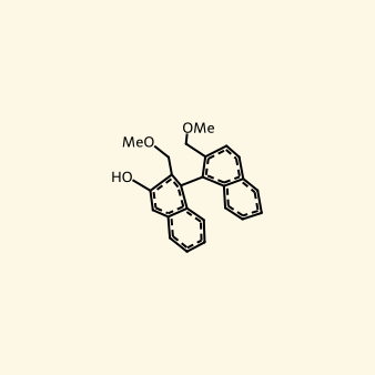 COCc1ccc2ccccc2c1-c1c(COC)c(O)cc2ccccc12